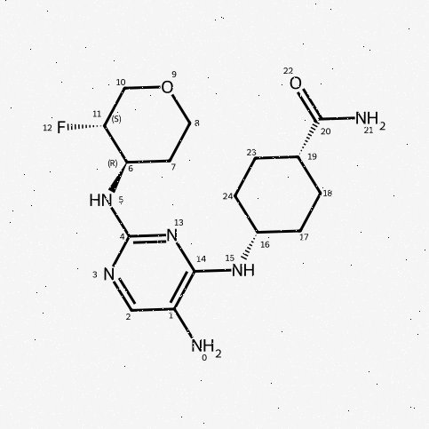 Nc1cnc(N[C@@H]2CCOC[C@H]2F)nc1N[C@H]1CC[C@@H](C(N)=O)CC1